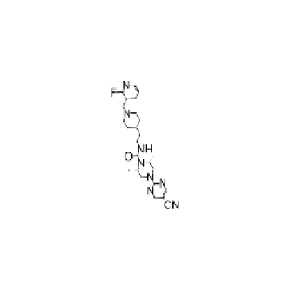 C[C@@H]1CN(c2ncc(C#N)cn2)C[C@H](C)N1C(=O)NCCC1CCN(Cc2cccnc2F)CC1